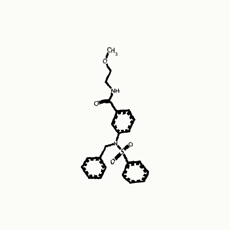 COCCNC(=O)c1cccc(N(Cc2ccccc2)S(=O)(=O)c2ccccc2)c1